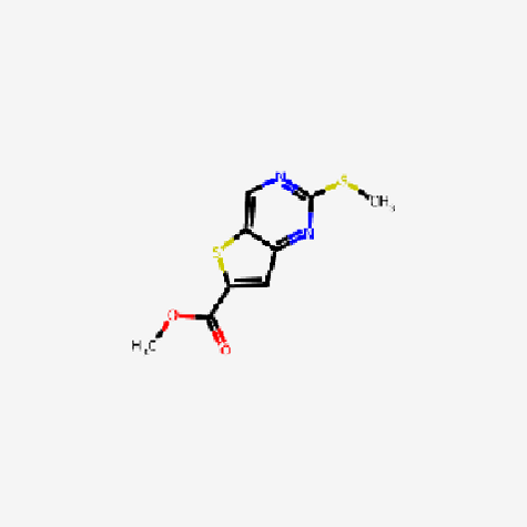 COC(=O)c1cc2nc(SC)ncc2s1